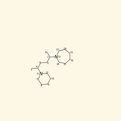 CC(CCC(C)N1CCCCC1)N1CCCCCC1